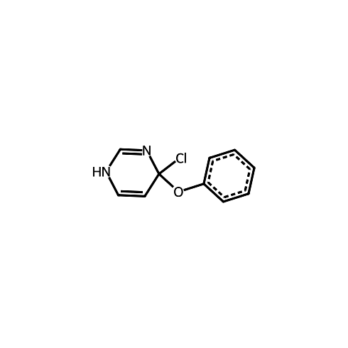 ClC1(Oc2ccccc2)C=CNC=N1